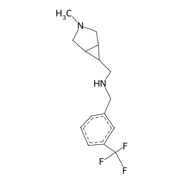 CN1CC2C(CNCc3cccc(C(F)(F)F)c3)C2C1